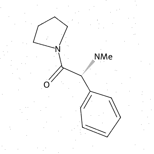 CN[C@@H](C(=O)N1CCCC1)c1ccccc1